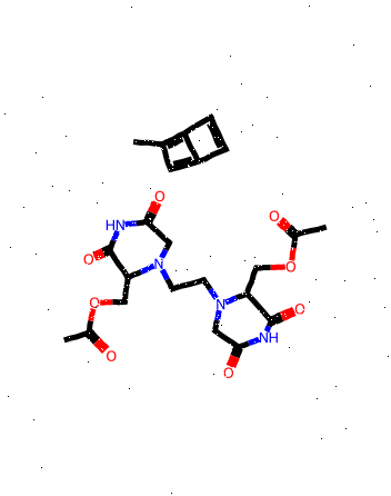 CC(=O)OCC1C(=O)NC(=O)CN1CCN1CC(=O)NC(=O)C1COC(C)=O.Cc1cc2ccc1-2